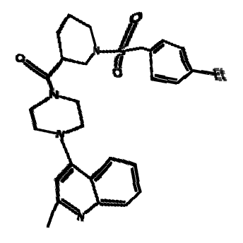 CCc1ccc(S(=O)(=O)N2CCCC(C(=O)N3CCN(c4cc(C)nc5ccccc45)CC3)C2)cc1